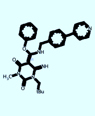 CN1C(=O)/C(=C(/NCc2ccc(-c3ccncc3)cc2)Oc2ccccc2)C(=N)N(CC(C)(C)C)C1=O